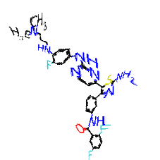 CN(C)CCCNc1ccc(Nc2nccc(-c3sc(N)nc3-c3cccc(NC(=O)c4cc(F)ccc4F)c3)n2)cc1F